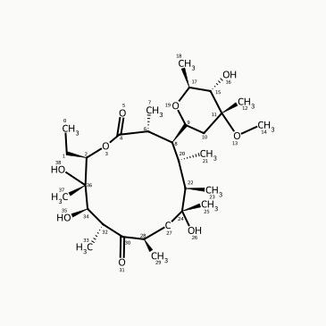 CC[C@H]1OC(=O)[C@H](C)[C@@H](C2C[C@@](C)(OC)[C@@H](O)[C@H](C)O2)[C@H](C)[C@@H](C)[C@](C)(O)C[C@@H](C)C(=O)[C@H](C)[C@@H](O)[C@]1(C)O